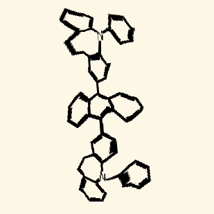 c1ccc(N2c3ccccc3CCc3cc(-c4c5ccccc5c(-c5ccc6c(c5)CCc5ccccc5N6c5ccccc5)c5ccccc45)ccc32)cc1